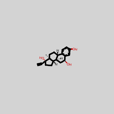 C#C[C@]1(O)CC[C@H]2[C@@H]3C[C@H](O)c4cc(O)ccc4[C@H]3CC[C@@]21C